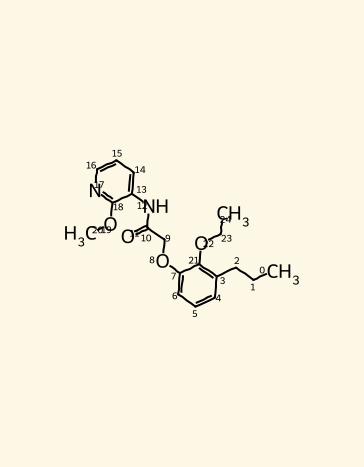 CCCc1cccc(OCC(=O)Nc2cccnc2OC)c1OCC